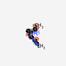 CN1C=C2C(=O)N(C3CCN(C(=O)C(NC(=O)Nc4ccc(S(C)(=O)=O)cc4)c4ccccc4)CC3)CN2C1